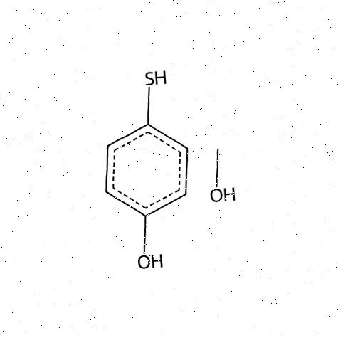 CO.Oc1ccc(S)cc1